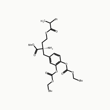 COC(=O)[C@@](N)(CCOC(=O)C(C)C(C)C)Cc1ccc(OC(=O)OCC(C)(C)C)c(OC(=O)OCC(C)(C)C)c1